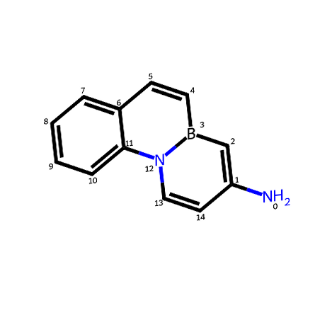 NC1=CB2C=Cc3ccccc3N2C=C1